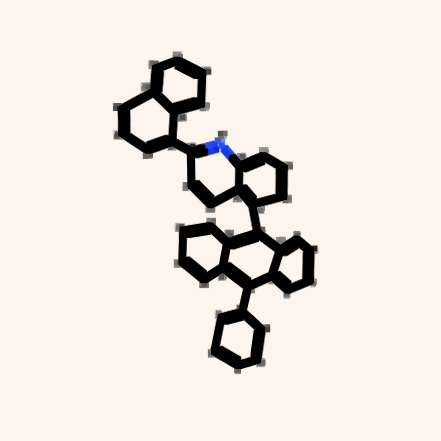 c1ccc(-c2c3ccccc3c(-c3cccc4nc(-c5cccc6ccccc56)ccc34)c3ccccc23)cc1